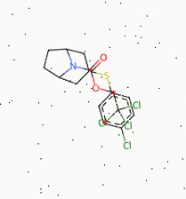 O=C(OCC(Cl)(Cl)Cl)N1C2CCC1CC(Sc1ccc(Cl)cc1)C2